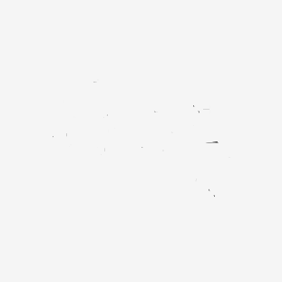 CC[C@@H](CC#N)C(=N)c1ccc(C(=O)c2ccccc2OC)cc1